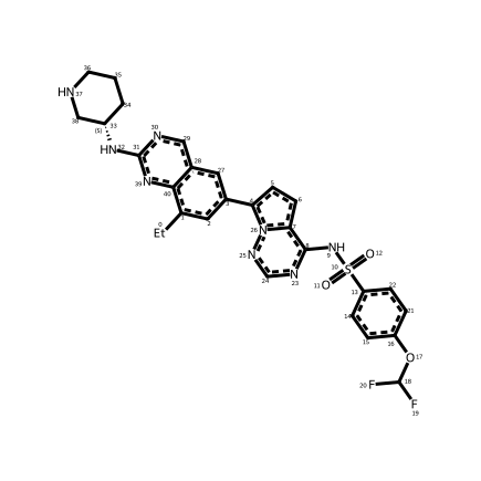 CCc1cc(-c2ccc3c(NS(=O)(=O)c4ccc(OC(F)F)cc4)ncnn23)cc2cnc(N[C@H]3CCCNC3)nc12